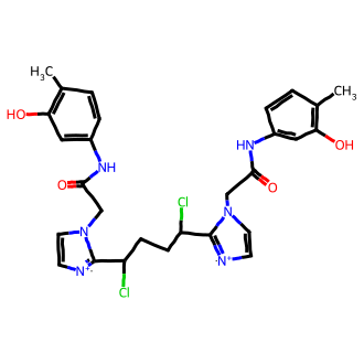 Cc1ccc(NC(=O)CN2C=C[N+]=C2C(Cl)CCC(Cl)C2=[N+]C=CN2CC(=O)Nc2ccc(C)c(O)c2)cc1O